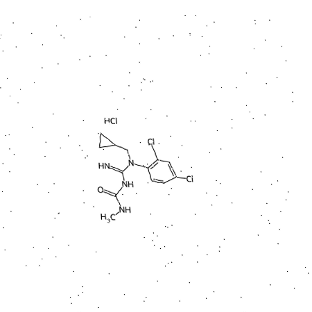 CNC(=O)NC(=N)N(CC1CC1)c1ccc(Cl)cc1Cl.Cl